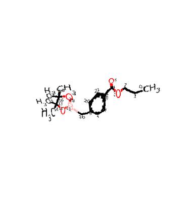 CCCOC(=O)c1ccc(CB2OC(C)(C)C(C)(C)O2)cc1